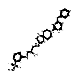 CNS(=O)(=O)c1cccc(OCC(O)CN[C@H]2COC3(CCN(c4nccc(Cc5ccccc5)n4)CC3)C2)c1